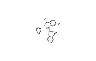 C#Cc1ccccc1CC(=O)Nc1cc(Cl)ccc1C(=O)OC.c1cc2cc-2c1